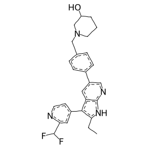 CCc1[nH]c2ncc(-c3ccc(CN4CCCC(O)C4)cc3)cc2c1-c1ccnc(C(F)F)c1